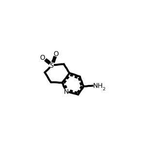 Nc1cnc2c(c1)CS(=O)(=O)CC2